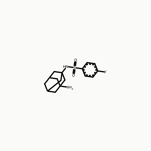 NC12CC3CC(C1)CC(NS(=O)(=O)c1ccc(F)cc1)(C3)C2